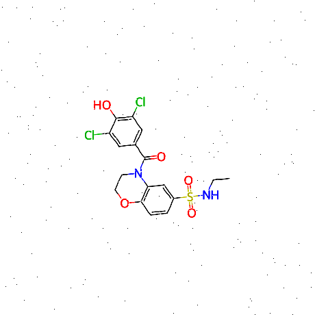 CCNS(=O)(=O)c1ccc2c(c1)N(C(=O)c1cc(Cl)c(O)c(Cl)c1)CCO2